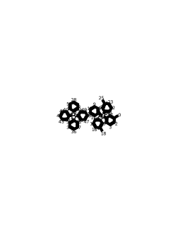 Cc1cccc([As+](c2ccccc2)(c2cccc(C)c2)c2cccc(C)c2)c1.c1ccc([B-](c2ccccc2)(c2ccccc2)c2ccccc2)cc1